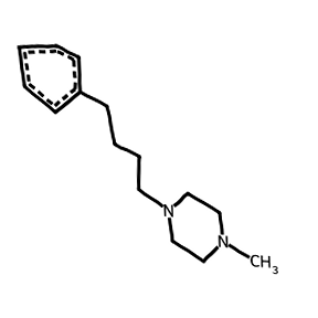 CN1CCN(CCCCc2ccccc2)CC1